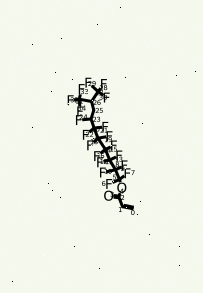 C=CC(=O)OC(F)(F)C(F)(F)C(F)(F)C(F)(F)C(F)(F)C(F)(F)C(F)CC(C(F)(F)F)C(F)(F)F